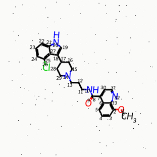 COc1cccc2c(C(=O)NCCCN3CCC(c4c[nH]c5cccc(Cl)c45)CC3)ccnc12